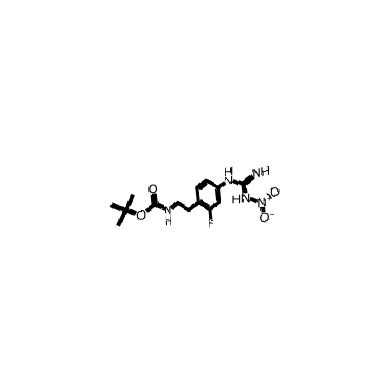 CC(C)(C)OC(=O)NCCc1ccc(NC(=N)N[N+](=O)[O-])cc1F